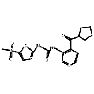 CS(=O)(=O)c1cnc(NC(=O)Nc2cnccc2C(=O)C2CCCC2)s1